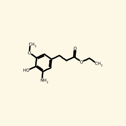 CCOC(=O)CCc1cc(N)c(O)c(OC)c1